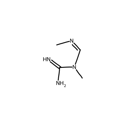 C/N=C\N(C)C(=N)N